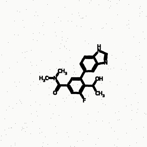 CC(O)c1c(F)cc(C(=O)N(C)C)cc1-c1ccc2[nH]cnc2c1